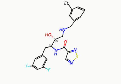 CCc1cccc(CNC[C@@H](O)[C@H](Cc2cc(F)cc(F)c2)NC(=O)c2cnsn2)c1